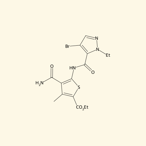 CCOC(=O)c1sc(NC(=O)c2c(Br)cnn2CC)c(C(N)=O)c1C